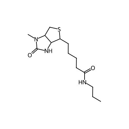 CCCNC(=O)CCCCC1SCC2C1NC(=O)N2C